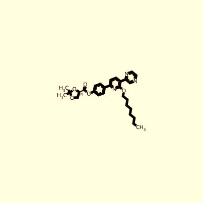 CCCCCCCCOc1nc(-c2ccc(OC(=O)[C@H]3COC(C)(C)O3)cc2)ccc1-c1cnccn1